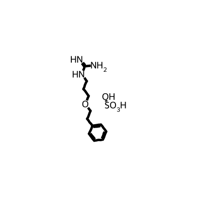 N=C(N)NCCCOCCc1ccccc1.O=S(=O)(O)O